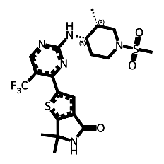 C[C@@H]1CN(S(C)(=O)=O)CC[C@@H]1Nc1ncc(C(F)(F)F)c(-c2cc3c(s2)C(C)(C)NC3=O)n1